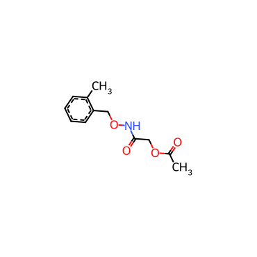 CC(=O)OCC(=O)NOCc1ccccc1C